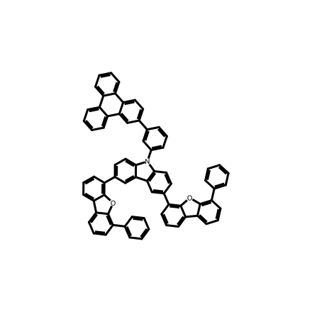 c1ccc(-c2cccc3c2oc2c(-c4ccc5c(c4)c4cc(-c6cccc7c6oc6c(-c8ccccc8)cccc67)ccc4n5-c4cccc(-c5ccc6c7ccccc7c7ccccc7c6c5)c4)cccc23)cc1